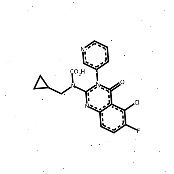 O=C(O)N(CC1CC1)c1nc2ccc(F)c(Cl)c2c(=O)n1-c1cccnc1